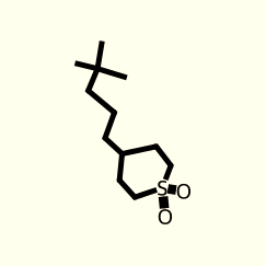 CC(C)(C)CCCC1CCS(=O)(=O)CC1